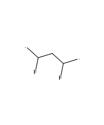 [CH2]C(F)CC([CH2])F